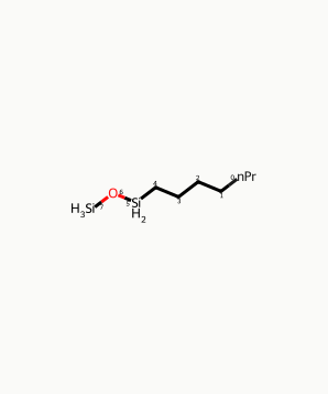 CCCCCCC[SiH2]O[SiH3]